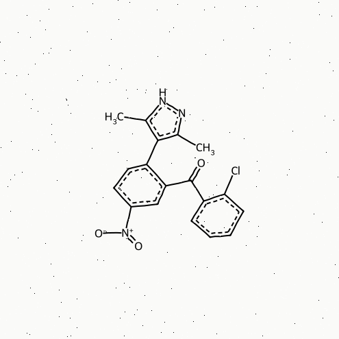 Cc1n[nH]c(C)c1-c1ccc([N+](=O)[O-])cc1C(=O)c1ccccc1Cl